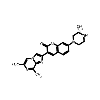 Cc1cn2cc(-c3cc4ccc(N5CCN[C@@H](C)C5)cc4oc3=O)nc2c(C)n1